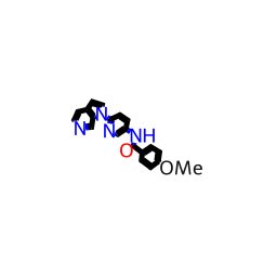 COc1ccc(C(=O)Nc2ccc(-n3ccc4ccncc43)nc2)cc1